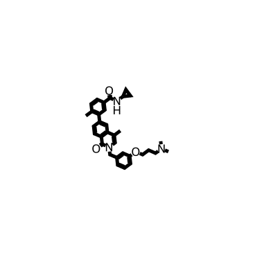 Cc1ccc(C(=O)NC2CC2)cc1-c1ccc2c(=O)n(Cc3cccc(OCCCN(C)C)c3)cc(C)c2c1